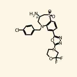 N[C@@H]1CN(Cc2ccc(Cl)cc2)c2cc(-c3nnc(N4CCOC(F)(F)C4)o3)ccc2S(=O)(=O)C1